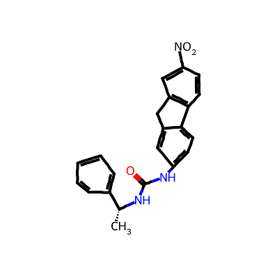 C[C@@H](NC(=O)Nc1ccc2c(c1)Cc1cc([N+](=O)[O-])ccc1-2)c1ccccc1